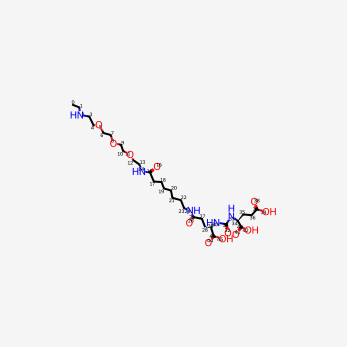 CCNCCOCCOCCOCCNC(=O)CCCCCCCNC(=O)CC[C@H](NC(=O)N[C@@H](CCC(=O)O)C(=O)O)C(=O)O